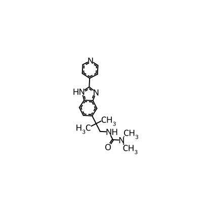 CN(C)C(=O)NCC(C)(C)c1ccc2[nH]c(-c3ccncc3)nc2c1